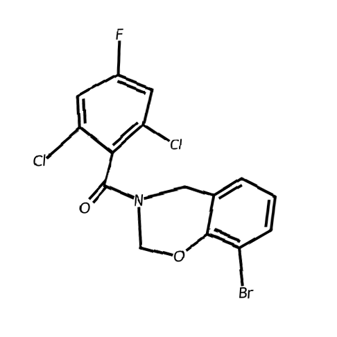 O=C(c1c(Cl)cc(F)cc1Cl)N1COc2c(Br)cccc2C1